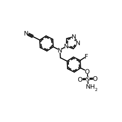 N#Cc1ccc(N(Cc2ccc(OS(N)(=O)=O)c(F)c2)n2cnnc2)cc1